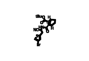 CC(C)(C)OC(=O)N1[C@@H]2CC[C@@H](C2)[C@H]1C(=O)NC(C#N)Cc1cc(Br)cs1